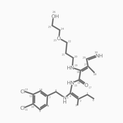 CC/C(C)=C(/NCc1ccc(Cl)c(Cl)c1)NC(=O)/C(NCCCOCCO)=C(\C)C=N